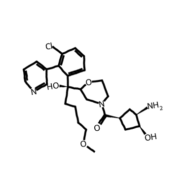 COCCCC[C@](O)(c1cccc(Cl)c1-c1cccnc1)C1CN(C(=O)[C@H]2C[C@@H](N)[C@@H](O)C2)CCO1